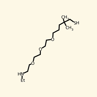 CCNCCOCCOCCOCCCC(C)(C)CS